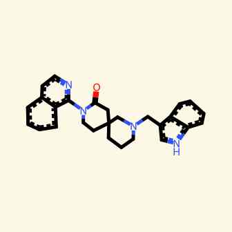 O=C1CC2(CCCN(Cc3c[nH]c4ccccc34)C2)CCN1c1nccc2ccccc12